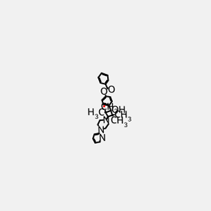 CC1(C)C(N2CCN(c3ccccn3)CC2)C(C)(C)C1(O)c1ccc(OC(=O)c2ccccc2)cc1